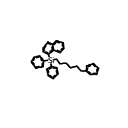 c1ccc(CCCCCC[Si](c2ccccc2)(c2ccccc2)c2cccc3ccccc23)cc1